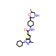 Cc1nn(C2CCCCC2)c2sc(C(=O)NC3CCC([C@]4(C)CNC[C@H](C)O4)CC3)cc12